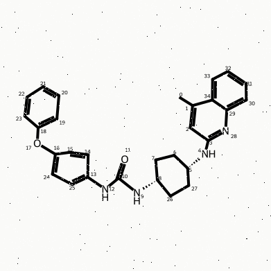 Cc1cc(N[C@H]2CC[C@@H](NC(=O)Nc3ccc(Oc4ccccc4)cc3)CC2)nc2ccccc12